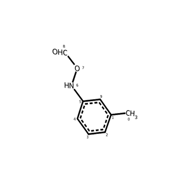 Cc1cccc(NOC=O)c1